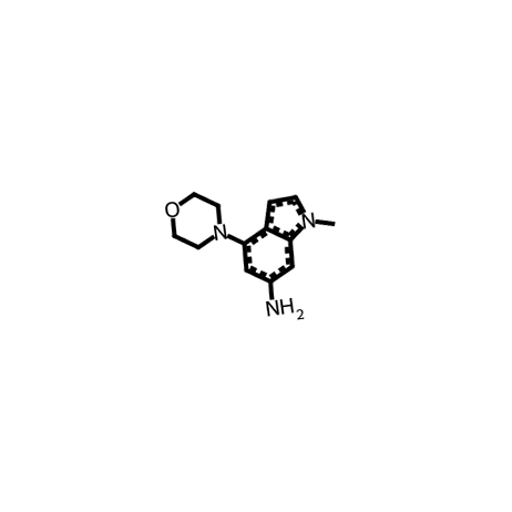 Cn1ccc2c(N3CCOCC3)cc(N)cc21